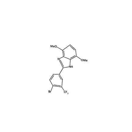 COc1ccc(OC)c2[nH]c(-c3ccc(Br)c(C(F)(F)F)c3)nc12